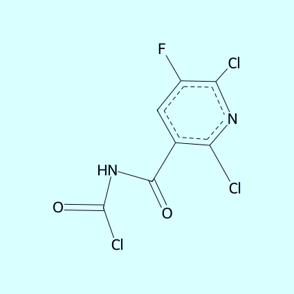 O=C(Cl)NC(=O)c1cc(F)c(Cl)nc1Cl